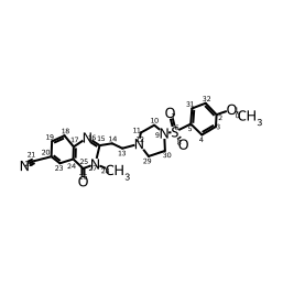 COc1ccc(S(=O)(=O)N2CCN(CCc3nc4ccc(C#N)cc4c(=O)n3C)CC2)cc1